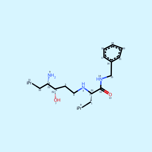 CC(C)C[C@H](NCC[C@H](O)[C@@H](N)CC(C)C)C(=O)NCc1ccccc1